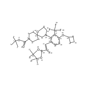 CC(C)(C)OC(=O)N1CCC2(CC1)CN(c1c(/C=C(\F)B3OC(C)(C)C(C)(C)O3)ccc(OC3CCC3)c1C(F)(F)F)CCO2